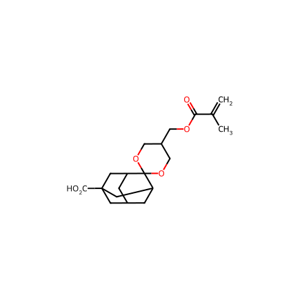 C=C(C)C(=O)OCC1COC2(OC1)C1CC3CC2CC(C(=O)O)(C3)C1